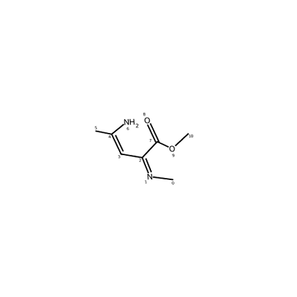 C/N=C(/C=C(/C)N)C(=O)OC